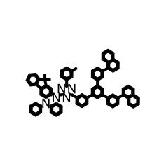 Cc1cccc(-c2nc(-c3cccc(-c4cc(-c5cccc(-c6cccc7ccccc67)c5)cc(-c5cccc(-c6cccc7ccccc67)c5)c4)c3)nc(N3c4ccccc4N(c4ccccc4)c4cc5c(cc43)C(C)(C)c3ccccc3-5)n2)c1